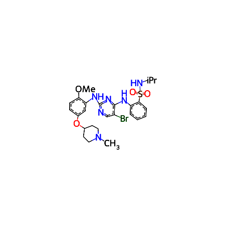 COc1ccc(OC2CCN(C)CC2)cc1Nc1ncc(Br)c(Nc2ccccc2S(=O)(=O)NC(C)C)n1